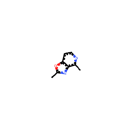 Cc1nc2c(C)nccc2o1